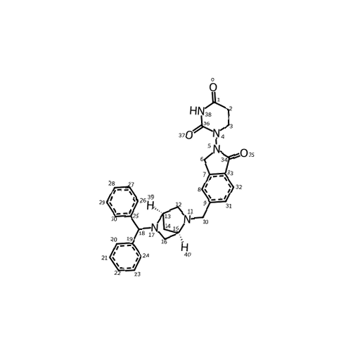 O=C1CCN(N2Cc3cc(CN4C[C@H]5C[C@@H]4CN5C(c4ccccc4)c4ccccc4)ccc3C2=O)C(=O)N1